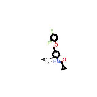 O=C(O)c1cc(COc2ccc(F)cc2F)ccc1NC(=O)C1CC1